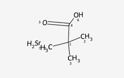 CC(C)(C)C(=O)O.[SrH2]